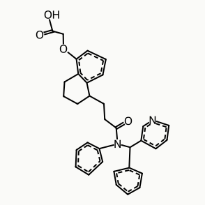 O=C(O)COc1cccc2c1CCCC2CCC(=O)N(c1ccccc1)C(c1ccccc1)c1cccnc1